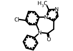 Cc1ncc2n1-c1ccc(Cl)cc1N(c1ccccc1)C(=O)C2